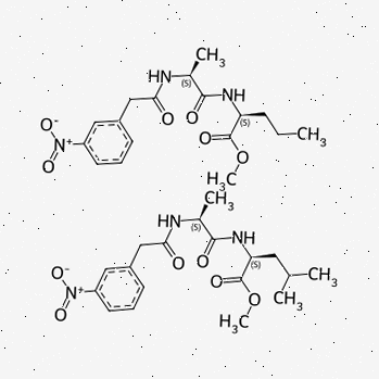 CCC[C@H](NC(=O)[C@H](C)NC(=O)Cc1cccc([N+](=O)[O-])c1)C(=O)OC.COC(=O)[C@H](CC(C)C)NC(=O)[C@H](C)NC(=O)Cc1cccc([N+](=O)[O-])c1